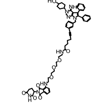 N=c1c2c(-c3ccccc3)c(-c3ccccc3)n(Cc3cccc(C#CCCCCC(=O)NCCOCCOCCOCCNc4cccc5c4C(=O)N(C4CCC(=O)NC4=O)C5=O)c3)c2ncn1C1CCC(O)CC1